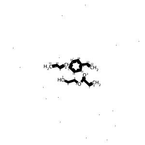 C=CC(=O)OCCO.C=CC=C.C=Cc1ccccc1